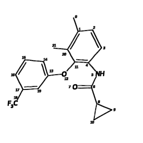 Cc1ccc(NC(=O)C2CC2)c(Oc2cccc(C(F)(F)F)c2)c1C